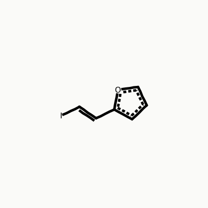 I/C=C/c1ccco1